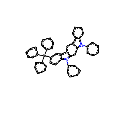 c1ccc(-n2c3ccccc3c3cc4c5cc([Si](c6ccccc6)(c6ccccc6)c6ccccc6)ccc5n(-c5ccccc5)c4cc32)cc1